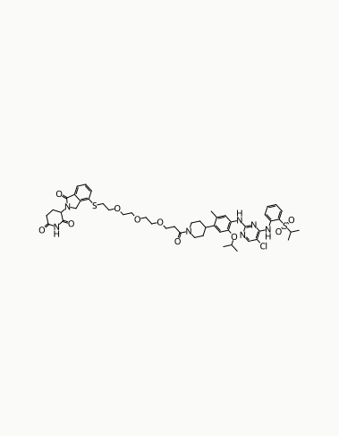 Cc1cc(Nc2ncc(Cl)c(Nc3ccccc3S(=O)(=O)C(C)C)n2)c(OC(C)C)cc1C1CCN(C(=O)CCOCCOCCOCCSc2cccc3c2CN(C2CCC(=O)NC2=O)C3=O)CC1